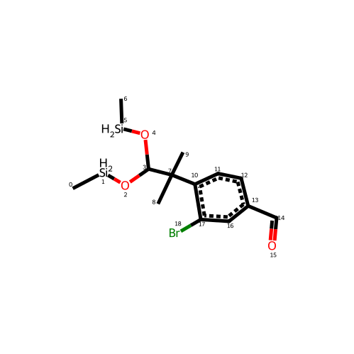 C[SiH2]OC(O[SiH2]C)C(C)(C)c1ccc(C=O)cc1Br